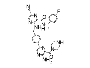 C[C@H](NC(=O)c1nc(C#N)cnc1NCc1ccc(-c2cnc(N)c(C(=O)N3CCNCC3)n2)cc1)c1ccc(F)cc1